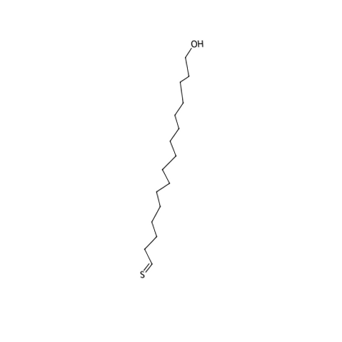 OCCCCCCCCCCCCCCCC=S